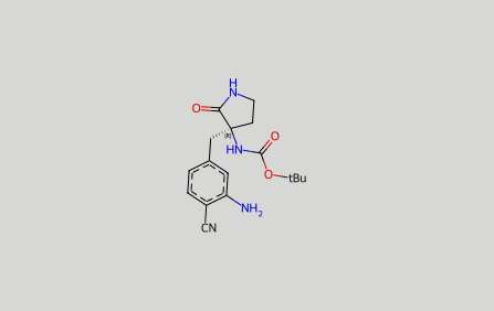 CC(C)(C)OC(=O)N[C@]1(Cc2ccc(C#N)c(N)c2)CCNC1=O